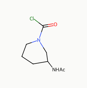 CC(=O)NC1CCCN(C(=O)Cl)C1